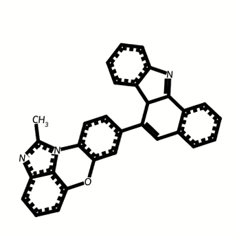 Cc1nc2cccc3c2n1-c1ccc(C2=Cc4ccccc4C4=Nc5ccccc5C24)cc1O3